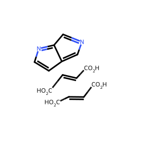 C1=CC2=CN=CC2=N1.O=C(O)C=CC(=O)O.O=C(O)C=CC(=O)O